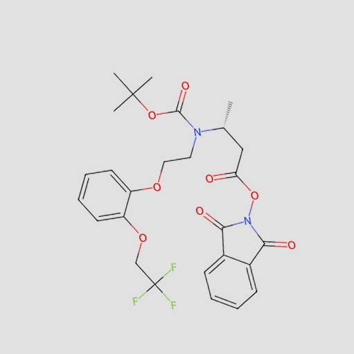 C[C@H](CC(=O)ON1C(=O)c2ccccc2C1=O)N(CCOc1ccccc1OCC(F)(F)F)C(=O)OC(C)(C)C